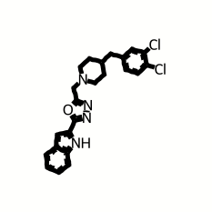 Clc1ccc(CC2CCN(Cc3nnc(-c4cc5ccccc5[nH]4)o3)CC2)cc1Cl